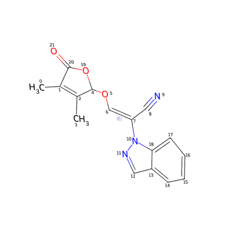 CC1=C(C)C(O/C=C(\C#N)n2ncc3ccccc32)OC1=O